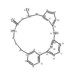 CCN1CC(=O)NCCCc2cccc(c2)-c2ncnc(n2)Nc2cccc(c2)C1